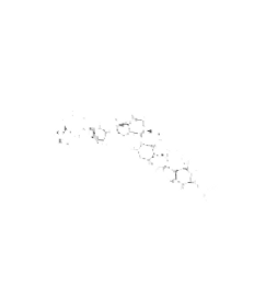 CB(O)N1CCCC(n2cc(-c3cc4c(-c5cccc(N6CCOc7cc(C8CC8)cc(F)c7C6=O)c5CO)ncnc4[nH]3)cn2)C1